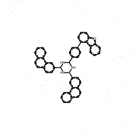 c1ccc2c(c1)ccc1ccc(C3NC(c4ccc(-c5cccc6oc7ccccc7c56)cc4)NC(c4ccc5ccc6ccccc6c5c4)N3)cc12